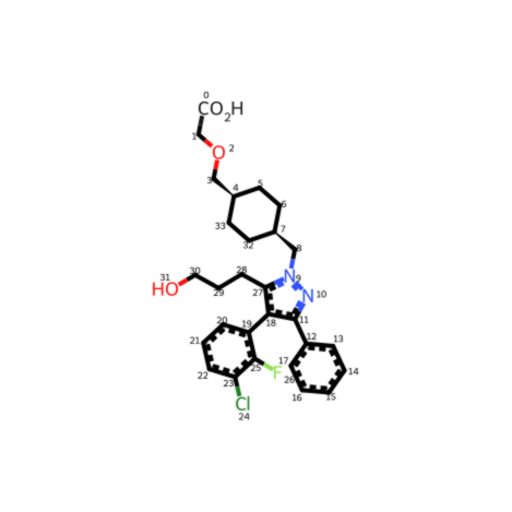 O=C(O)COC[C@H]1CC[C@@H](Cn2nc(-c3ccccc3)c(-c3cccc(Cl)c3F)c2CCCO)CC1